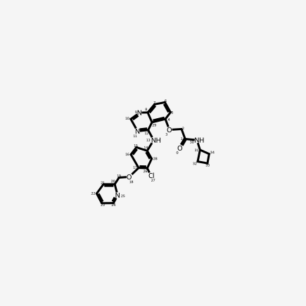 O=C(COc1cccc2ncnc(Nc3ccc(OCc4ccccn4)c(Cl)c3)c12)NC1CCC1